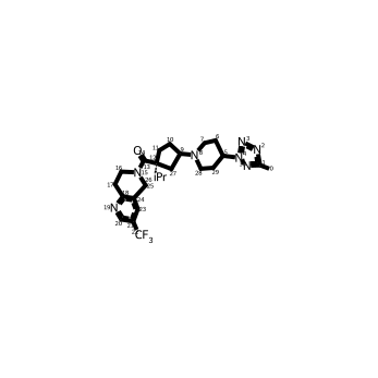 Cc1nnn(C2CCN(C3CC[C@@](C(=O)N4CCc5ncc(C(F)(F)F)cc5C4)(C(C)C)C3)CC2)n1